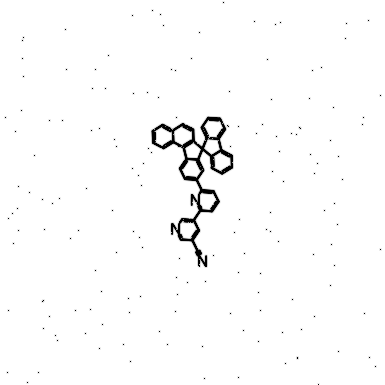 N#Cc1cncc(-c2cccc(-c3ccc4c(c3)C3(c5ccccc5-c5ccccc53)c3ccc5ccccc5c3-4)n2)c1